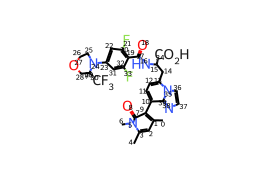 Cc1cc(C)n(C)c(=O)c1-c1ccc(CC(NC(=O)c2c(F)cc(N3CCOC[C@@H]3C(F)(F)F)cc2F)C(=O)O)n2ccnc12